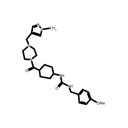 COc1ccc(CNC(=O)NC2CCC(C(=O)N3CCN(Cc4cnn(C)c4)CC3)CC2)cc1